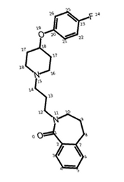 O=C1c2ccccc2CCCN1CCCN1CCC(Oc2ccc(F)cc2)CC1